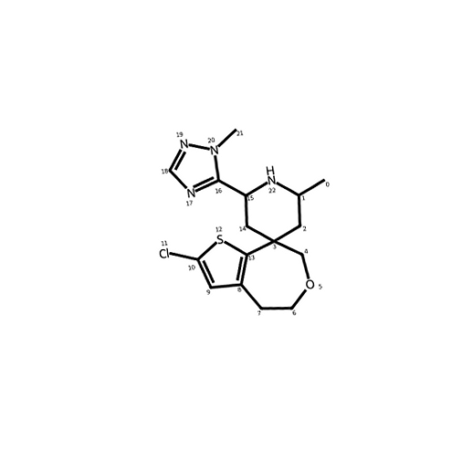 CC1CC2(COCCc3cc(Cl)sc32)CC(c2ncnn2C)N1